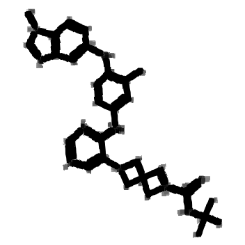 Cc1cc(Nc2ncncc2N2CC3(CN(C(=O)OC(C)(C)C)C3)C2)ccc1Oc1ccc2c(c1)ncn2C